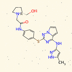 Cc1cc(Nc2nc(Sc3ccc(NC(=O)CN4CCC[C@@H]4CO)cc3)nn3cccc23)n[nH]1